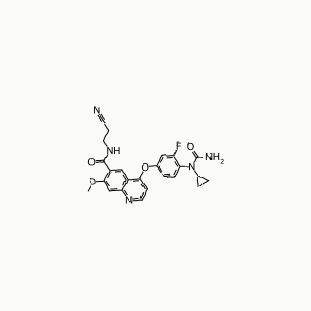 COc1cc2nccc(Oc3ccc(N(C(N)=O)C4CC4)c(F)c3)c2cc1C(=O)NCCC#N